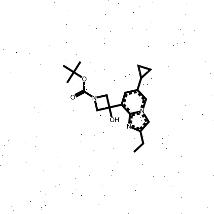 CCc1cn2cc(C3CC3)cc(C3(O)CN(C(=O)OC(C)(C)C)C3)c2n1